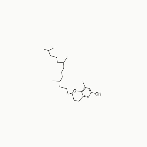 Cc1cc(O)cc2c1OC(CCCC(C)CCCC(C)CCCC(C)C)CC2